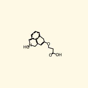 O=C(O)CCOC1=CC2=c3c(cccc3=CN(O)C2)C1